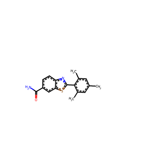 Cc1cc(C)c(-c2nc3ccc(C(N)=O)cc3s2)c(C)c1